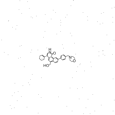 O=c1[nH]cc(C2=CCCCC2)c2cc(CO)c3ccc(-c4ccc(CN5CCOCC5)cc4)cc3c12